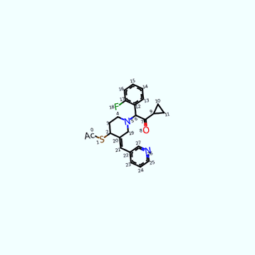 CC(=O)SC1CCN(C(C(=O)C2CC2)c2ccccc2F)CC1=Cc1cccnc1